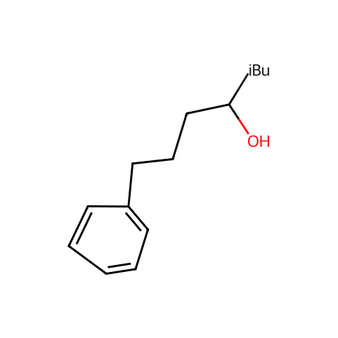 CCC(C)C(O)CCCc1ccccc1